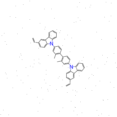 C=Cc1ccc2c(c1)c1ccccc1n2-c1ccc(-c2ccc(-n3c4ccccc4c4cc(C=C)ccc43)cc2C)c(C)c1